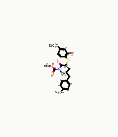 CCOC(=O)c1ccc(S[C@@H](CCCc2ccc(OC)cc2)C(=O)N(C)C(=O)OC(C)(C)C)c(Br)c1